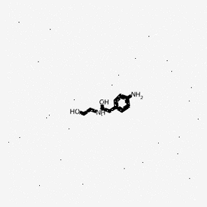 Nc1ccc(CC(O)NCCO)cc1